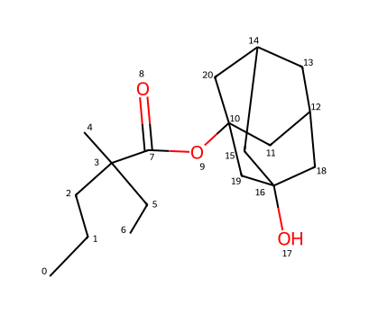 CCCC(C)(CC)C(=O)OC12CC3CC(CC(O)(C3)C1)C2